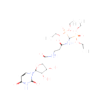 CCOP(=O)(OCC)C(NC(=O)CCNC(=O)[C@H]1OC(n2ccc(=O)[nH]c2=O)[C@H](O)[C@@H]1O)P(=O)(OCC)OCC